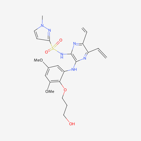 C=Cc1nc(Nc2cc(OC)cc(OC)c2OCCCO)c(NS(=O)(=O)c2ccn(C)n2)nc1C=C